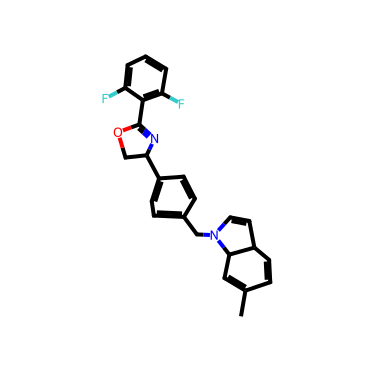 CC1=CC2C(C=C1)C=CN2Cc1ccc(C2COC(c3c(F)cccc3F)=N2)cc1